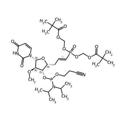 CO[C@@H]1[C@@H](OP(OCCC#N)N(C(C)C)C(C)C)[C@@H](C/C=C/P(=O)(OCOC(=O)C(C)(C)C)OCOC(=O)C(C)(C)C)O[C@H]1n1ccc(=O)[nH]c1=O